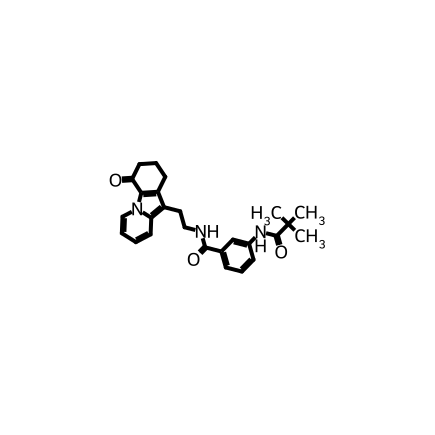 CC(C)(C)C(=O)Nc1cccc(C(=O)NCCc2c3c(n4ccccc24)C(=O)CCC3)c1